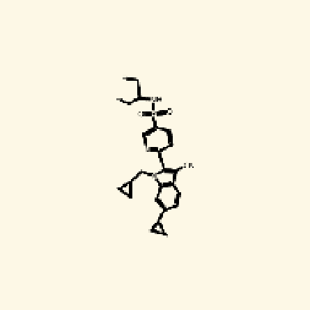 N#Cc1c(-c2ccc(S(=O)(=O)NC(CF)CF)cn2)n(CC2CC2)c2cc(C3CC3)ccc12